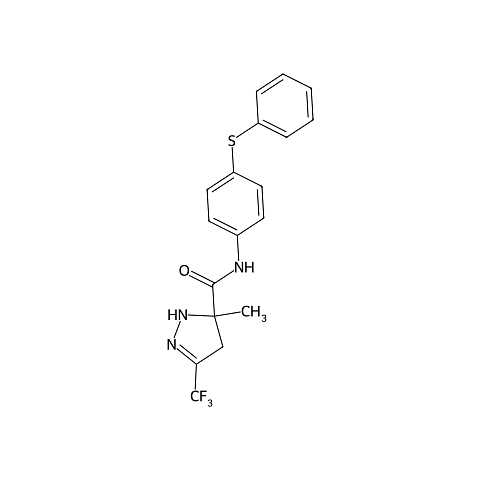 CC1(C(=O)Nc2ccc(Sc3ccccc3)cc2)CC(C(F)(F)F)=NN1